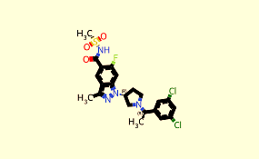 Cc1nn([C@@H]2CCN([C@H](C)c3cc(Cl)cc(Cl)c3)C2)c2cc(F)c(C(=O)NS(C)(=O)=O)cc12